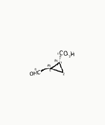 O=C[C@@H]1C[C@H]1C(=O)O